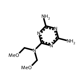 COCN(COC)c1nc(N)nc(N)n1